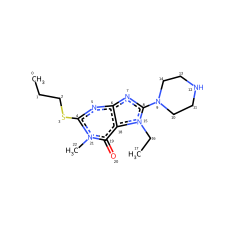 CCCSc1nc2nc(N3CCNCC3)n(CC)c2c(=O)n1C